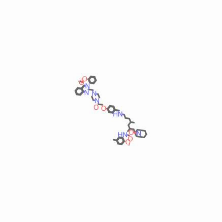 CCOc1ccccc1-n1c(CN2CCN(C(=O)COc3ccc(CNCCCC(C)CC(C)CCN4C5CCCC4CC(OC(=O)Nc4cc(C)ccc4OC)C5)cc3)CC2)nc2ccccc2c1=O